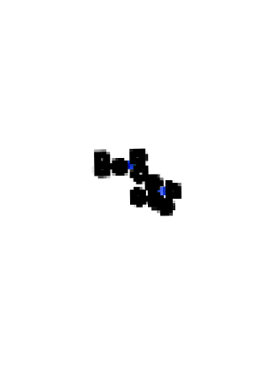 c1ccc(-c2ccccc2-n2c3ccc(-c4ccc5c(c4)c4ccccc4n5-c4ccc(-c5cccc6ccccc56)cc4)cc3c3c(-c4ccccc4)cccc32)cc1